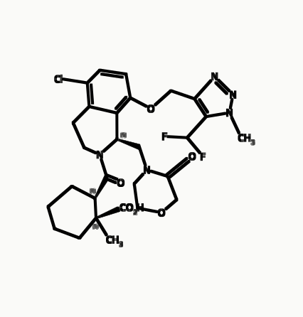 Cn1nnc(COc2ccc(Cl)c3c2[C@@H](CN2CCOCC2=O)N(C(=O)[C@@H]2CCCC[C@]2(C)C(=O)O)CC3)c1C(F)F